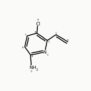 C=Cc1nc(N)ccc1Cl